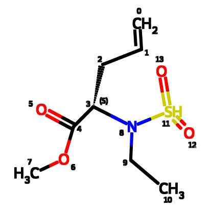 C=CC[C@@H](C(=O)OC)N(CC)[SH](=O)=O